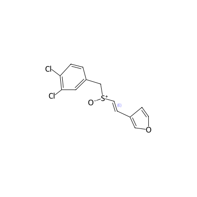 [O-][S+](/C=C/c1ccoc1)Cc1ccc(Cl)c(Cl)c1